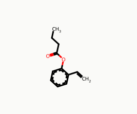 C=Cc1ccccc1OC(=O)CCC